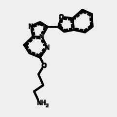 NCCCOc1ccc2ncc(-c3cc4ccccc4o3)n2n1